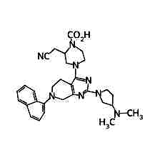 CN(C)C1CCN(c2nc3c(c(N4CCN(C(=O)O)C(CC#N)C4)n2)CCN(c2cccc4ccccc24)C3)C1